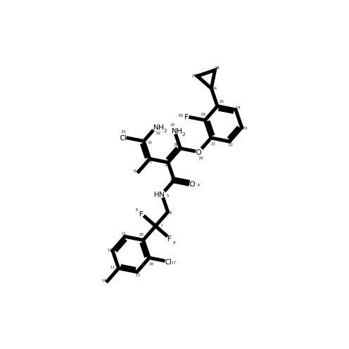 CC(/C(C(=O)NCC(F)(F)c1ccc(C)cc1Cl)=C(\N)Oc1cccc(C2CC2)c1F)=C(/N)Cl